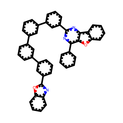 c1ccc(-c2nc(-c3cccc(-c4cccc(-c5cccc(-c6cccc(-c7nc8ccccc8o7)c6)c5)c4)c3)nc3c2oc2ccccc23)cc1